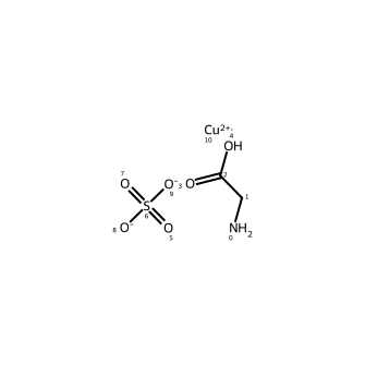 NCC(=O)O.O=S(=O)([O-])[O-].[Cu+2]